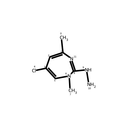 CC1=CC(Cl)=CN(C)C(NN)=N1